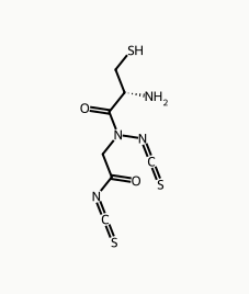 N[C@@H](CS)C(=O)N(CC(=O)N=C=S)N=C=S